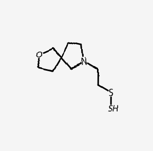 SSCCN1CCC2(CCOC2)C1